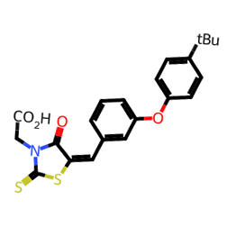 CC(C)(C)c1ccc(Oc2cccc(C=C3SC(=S)N(CC(=O)O)C3=O)c2)cc1